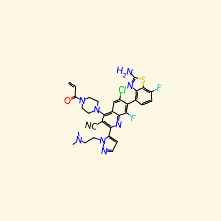 C=CC(=O)N1CCN(c2c(C#N)c(-c3ccnn3CCN(C)C)nc3c(F)c(-c4ccc(F)c5sc(N)nc45)c(Cl)cc23)CC1